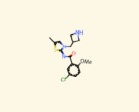 COc1ccc(Cl)cc1C(=O)N=c1sc(C)cn1CC1CNC1